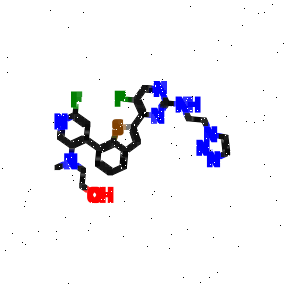 CN(CCO)c1cnc(F)cc1-c1cccc2cc(-c3nc(NCCn4ccnn4)ncc3F)sc12